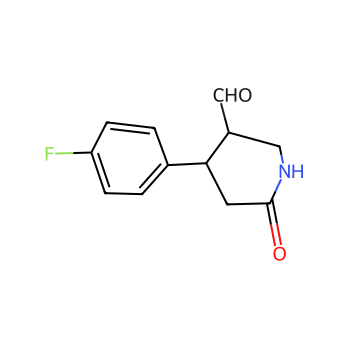 O=CC1CNC(=O)CC1c1ccc(F)cc1